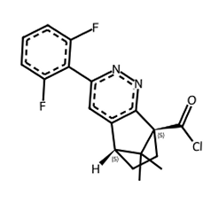 CC1(C)[C@@H]2CC[C@@]1(C(=O)Cl)c1nnc(-c3c(F)cccc3F)cc12